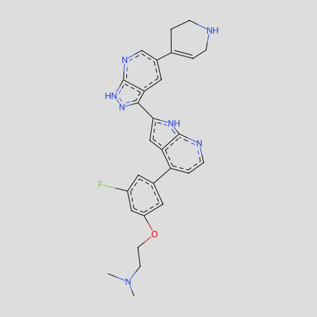 CN(C)CCOc1cc(F)cc(-c2ccnc3[nH]c(-c4n[nH]c5ncc(C6=CCNCC6)cc45)cc23)c1